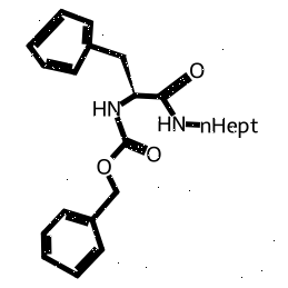 CCCCCCCNC(=O)[C@H](Cc1ccccc1)NC(=O)OCc1ccccc1